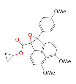 COc1ccc(C2(C(=O)OC3CC3)OC2(c2ccc(OC)cc2)c2ccc(OC)cc2)cc1